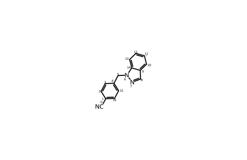 N#Cc1ccc(Cn2ncc3c[c]ccc32)cc1